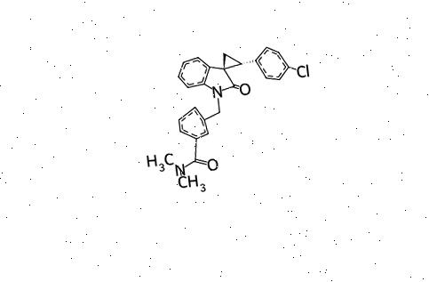 CN(C)C(=O)c1cccc(CN2C(=O)[C@]3(C[C@@H]3c3ccc(Cl)cc3)c3ccccc32)c1